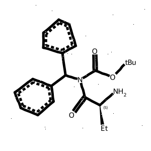 CC[C@H](N)C(=O)N(C(=O)OC(C)(C)C)C(c1ccccc1)c1ccccc1